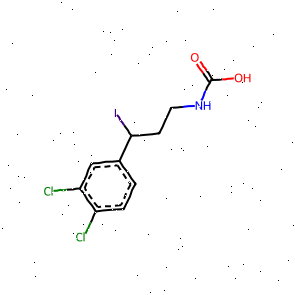 O=C(O)NCCC(I)c1ccc(Cl)c(Cl)c1